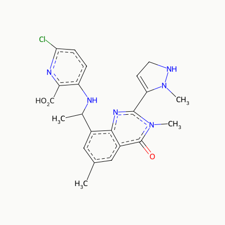 Cc1cc(C(C)Nc2ccc(Cl)nc2C(=O)O)c2nc(C3=CCNN3C)n(C)c(=O)c2c1